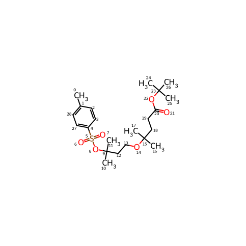 Cc1ccc(S(=O)(=O)OC(C)(C)CCOC(C)(C)CCC(=O)OC(C)(C)C)cc1